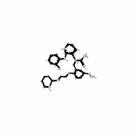 COc1ccc(OCCOC2CCCCO2)c(CN(C(C)=O)c2cccnc2Oc2ccccc2F)c1